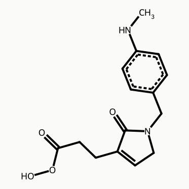 CNc1ccc(CN2CC=C(CCC(=O)OO)C2=O)cc1